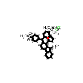 C[Si](C)(C)c1ccc(C(c2ccc([Si](C)(C)C)cc2)=c2ccc3c(c2C2=CC=CC2)[C]([Hf+2])=c2ccccc2=3)cc1.[Cl-].[Cl-]